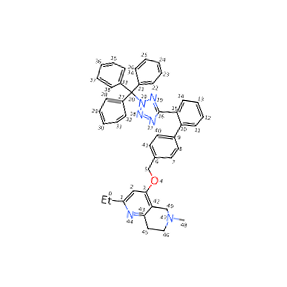 CCc1cc(OCc2ccc(-c3ccccc3-c3nnn(C(c4ccccc4)(c4ccccc4)c4ccccc4)n3)cc2)c2c(n1)CCN(C)C2